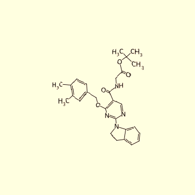 Cc1ccc(COc2nc(N3CCc4ccccc43)ncc2C(=O)NCC(=O)OC(C)(C)C)cc1C